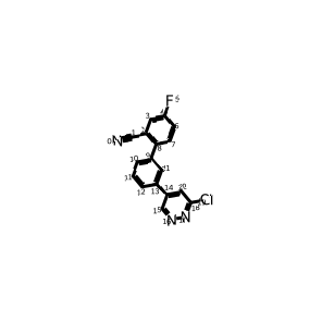 N#Cc1cc(F)ccc1-c1cccc(-c2cnnc(Cl)c2)c1